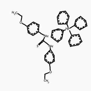 CCOc1ccc(NC(=S)Nc2ccc(OCC)cc2)cc1.c1ccc([PH](c2ccccc2)(c2ccccc2)c2ccccc2)cc1